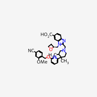 COc1cc(C#N)ccc1COc1cccc(C2(C)CCN(Cc3nc4ccc(C(=O)O)cc4n3C[C@@H]3CCO3)CC2C)n1